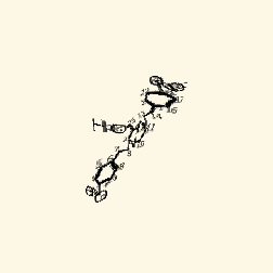 O=[N+]([O-])c1ccc(CCN2CCN(CCc3ccc([N+](=O)[O-])cc3)C(CO)C2)cc1